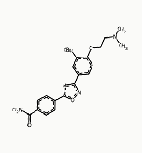 CN(C)CCOc1ccc(-c2noc(-c3ccc(C(N)=O)cc3)n2)cc1C(C)(C)C